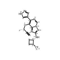 C#C[C@H](C)Oc1c(-c2cn[nH]c2)ncn2nc(N[C@H]3CC[C@@H]3C(F)(F)F)nc12